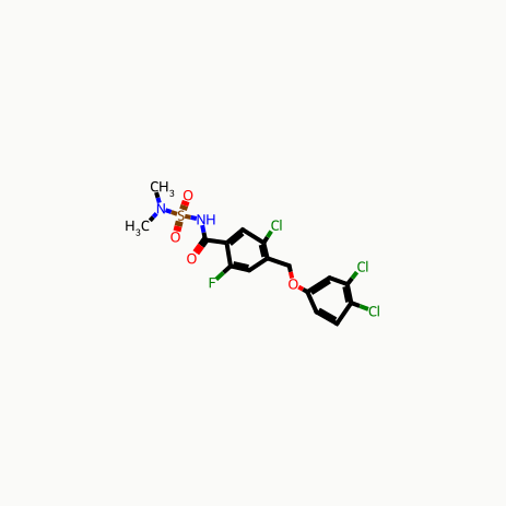 CN(C)S(=O)(=O)NC(=O)c1cc(Cl)c(COc2ccc(Cl)c(Cl)c2)cc1F